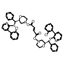 O=C(/C=C/C(=O)ON1CCO[C@H](C(Sc2ncccc2-c2ccccc2Cl)c2ccccc2)C1)ON1CCO[C@H](C(Sc2ncccc2-c2ccccc2Cl)c2ccccc2)C1